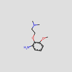 COc1cccc(N)c1OCCN(C)C